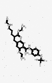 C=C/N=C1/C=C(CC(CCCNC=O)C(=O)OCC)C=C/C1=C(/C)Nc1ccc(OC(F)(F)F)cc1